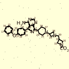 Nc1ncnc2c1c(-c1ccc(Oc3ccccc3)cc1)nn2C1CCN(C2CN(CC3CN(C(=O)O)C3)C2)CC1